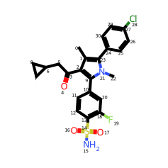 Cc1c(C(=O)CC2CC2)c(-c2ccc(S(N)(=O)=O)c(F)c2)n(C)c1-c1ccc(Cl)cc1